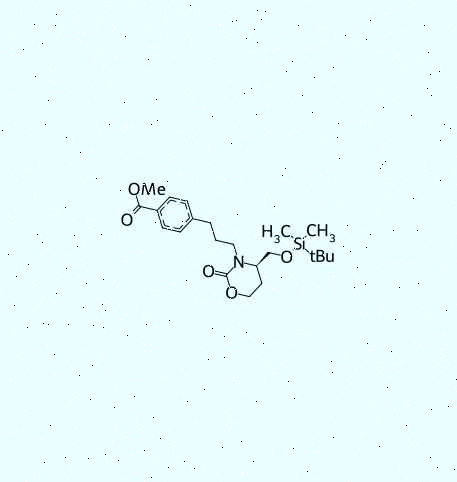 COC(=O)c1ccc(CCCN2C(=O)OCC[C@@H]2CO[Si](C)(C)C(C)(C)C)cc1